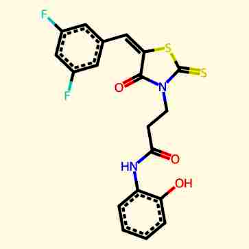 O=C(CCN1C(=O)C(=Cc2cc(F)cc(F)c2)SC1=S)Nc1ccccc1O